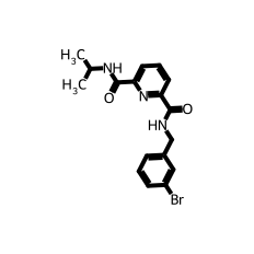 CC(C)NC(=O)c1cccc(C(=O)NCc2cccc(Br)c2)n1